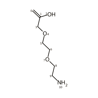 C=C(O)COCCOCCN